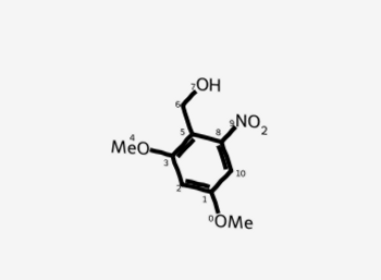 COc1cc(OC)c(CO)c([N+](=O)[O-])c1